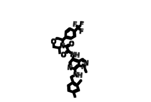 Cc1ccc(CNc2ncc(NC(=O)C(=O)N3C(C)COCC3c3ccc(C(F)(F)F)cc3)c3cnn(C)c23)c(C)c1